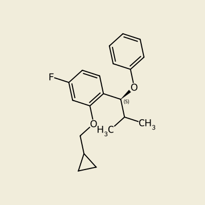 CC(C)[C@H](Oc1ccccc1)c1ccc(F)cc1OCC1CC1